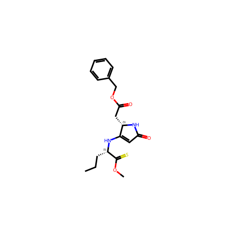 CCC[C@H](NC1=CC(=O)N[C@H]1CC(=O)OCc1ccccc1)C(=S)OC